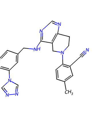 Cc1ccc(N2CCc3ncnc(NCc4cccc(-n5cnnc5)c4)c3C2)c(C#N)c1